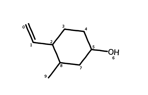 C=CC1CCC(O)CC1C